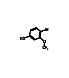 Oc1ccc(Br)c(OC(F)(F)F)c1